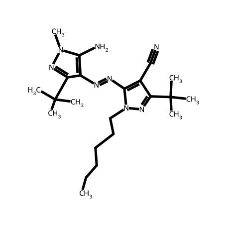 CCCCCCn1nc(C(C)(C)C)c(C#N)c1N=Nc1c(C(C)(C)C)nn(C)c1N